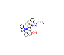 CCCC(NC(=O)c1ccc(-c2c(Cl)cccc2-c2nc3ccccc3[nH]2)c(C(=O)O)c1)c1ccccc1OC(F)(F)F